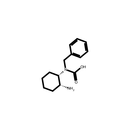 N[C@@H]1CCCC[C@@H]1N(Cc1ccccc1)C(=O)O